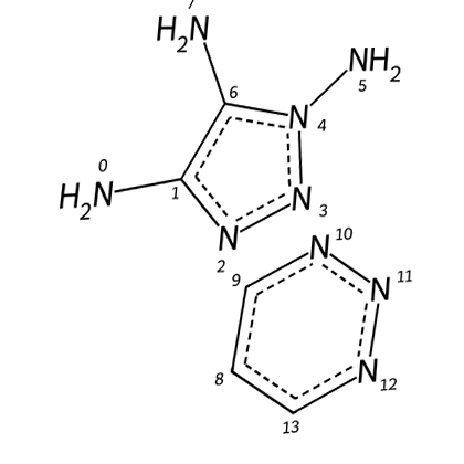 Nc1nnn(N)c1N.c1cnnnc1